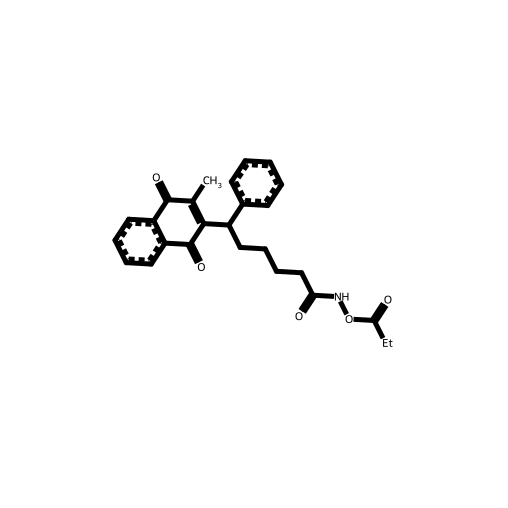 CCC(=O)ONC(=O)CCCCC(C1=C(C)C(=O)c2ccccc2C1=O)c1ccccc1